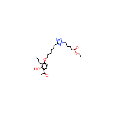 CCCc1c(OCCCCCCc2nnn(CCCCC(=O)OCC)n2)ccc(C(C)=O)c1O